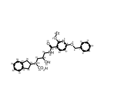 CCOc1nc(OCc2ccccc2)ccc1C(=O)NCC(O)CN(C(=O)O)C1Cc2ccccc2C1